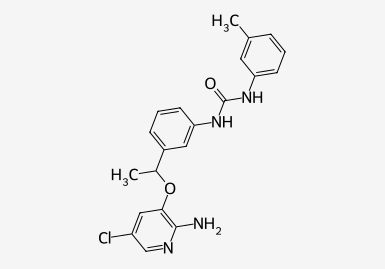 Cc1cccc(NC(=O)Nc2cccc(C(C)Oc3cc(Cl)cnc3N)c2)c1